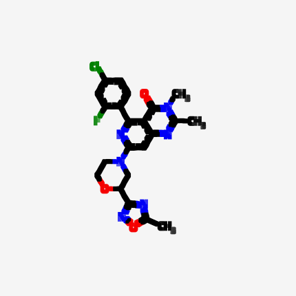 Cc1nc(C2CN(c3cc4nc(C)n(C)c(=O)c4c(-c4ccc(Cl)cc4F)n3)CCO2)no1